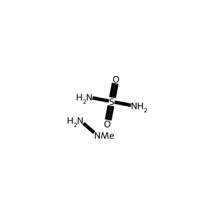 CNN.NS(N)(=O)=O